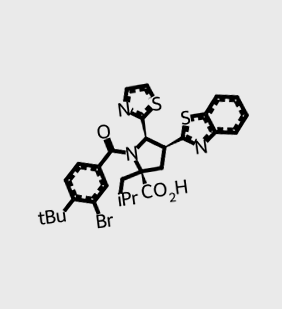 CC(C)C[C@@]1(C(=O)O)C[C@H](c2nc3ccccc3s2)[C@H](c2nccs2)N1C(=O)c1ccc(C(C)(C)C)c(Br)c1